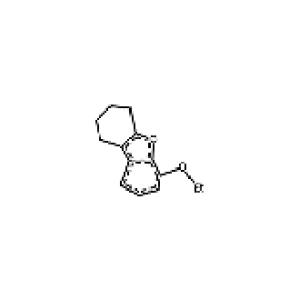 [CH2]COc1cccc2c3c(oc12)CCCC3